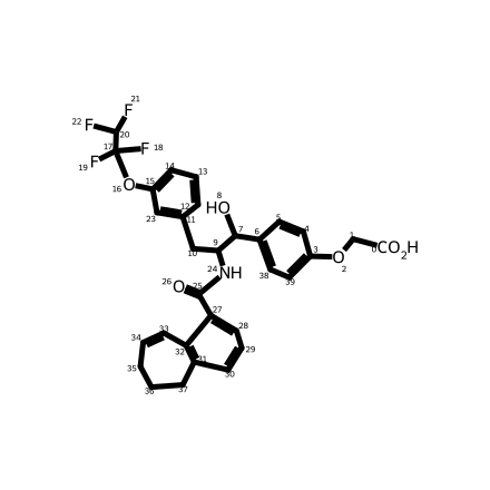 O=C(O)COc1ccc(C(O)C(Cc2cccc(OC(F)(F)C(F)F)c2)NC(=O)c2cccc3c2C=CCCC3)cc1